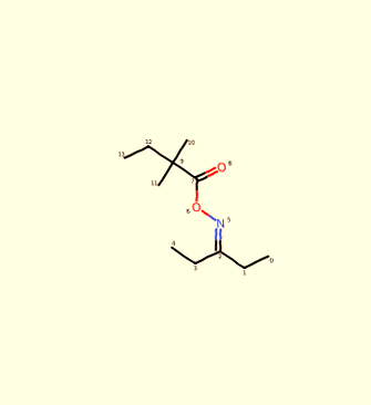 CCC(CC)=NOC(=O)C(C)(C)CC